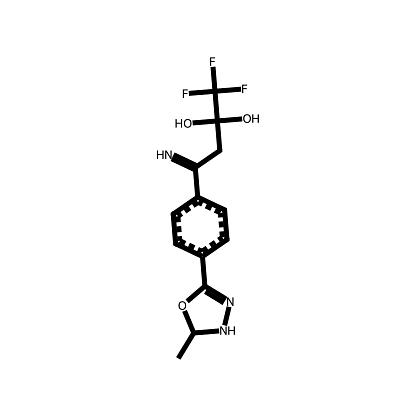 CC1NN=C(c2ccc(C(=N)CC(O)(O)C(F)(F)F)cc2)O1